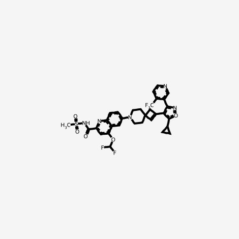 CS(=O)(=O)NC(=O)c1cc(OC(F)F)c2cc(N3CCC4(C=C(c5c(-c6cnccc6C(F)(F)F)noc5C5CC5)C4)CC3)ccc2n1